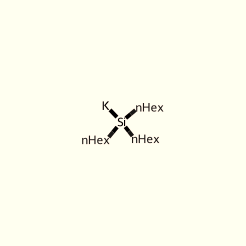 CCCCCC[Si]([K])(CCCCCC)CCCCCC